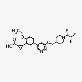 CCOc1ccc(-c2cnnc(OCC3CCN(C(F)C(F)F)CC3)c2)cc1C1CC1C(=O)O